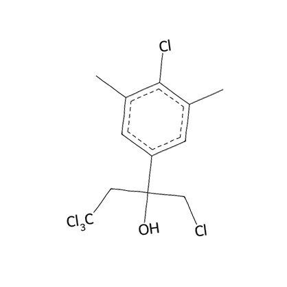 Cc1cc(C(O)(CCl)CC(Cl)(Cl)Cl)cc(C)c1Cl